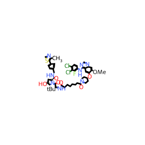 COc1cc2ncnc(Nc3ccc(Cl)c(Cl)c3F)c2cc1OC1CCN(C(=O)CCCCCCC(=O)N[C@H](C(=O)N2C[C@H](O)C[C@H]2C(=O)NCc2ccc(-c3scnc3C)cc2)C(C)(C)C)CC1